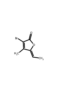 C/C=C1\OC(=O)C(Br)=C1C